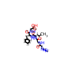 CCC[C@H](NC(=O)CNC(=O)CN=[N+]=[N-])C(=O)N[C@H](Cc1ccccc1)C(=O)NCC(=O)O